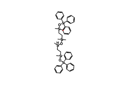 C[SiH](CC[Si](C)(C)O[Si](c1ccccc1)(c1ccccc1)c1ccccc1)O[Si](C)(C)CC[Si](C)(C)O[Si](c1ccccc1)(c1ccccc1)c1ccccc1